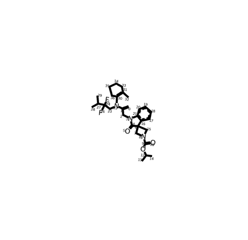 C=C(CN1C(=O)C2(CN(C(=O)OC(C)C)C2)c2ccccc21)N(CC(F)(F)C(C)C)C1=C(C)CCCC1